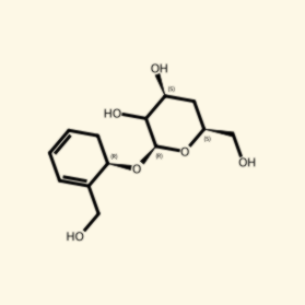 OCC1=CC=CC[C@H]1O[C@@H]1O[C@H](CO)C[C@H](O)C1O